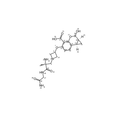 C[C@@](N)(CN1CC(Oc2ccc3c(c2C(=O)O)OB(O)[C@H]2C[C@@H]32)C1)C(=O)NCC(N)=O